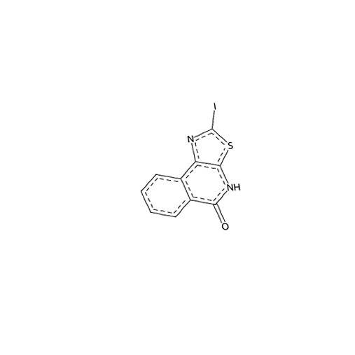 O=c1[nH]c2sc(I)nc2c2ccccc12